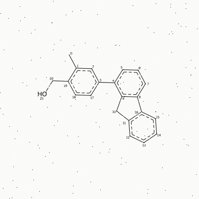 Cc1cc(-c2cccc3c2Cc2ccccc2-3)ccc1CO